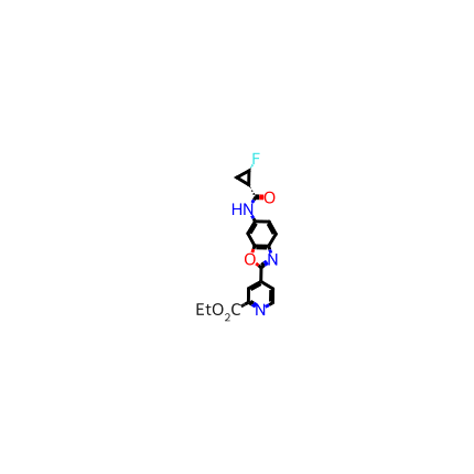 CCOC(=O)c1cc(-c2nc3ccc(NC(=O)[C@@H]4C[C@@H]4F)cc3o2)ccn1